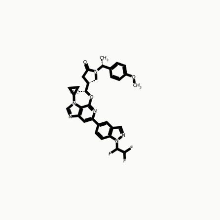 COc1ccc([C@@H](C)N2C[C@H]([C@@H](C)Oc3nc(-c4ccc5c(cnn5C(F)C(F)F)c4)cc4ncn(C5CC5)c34)CC2=O)cc1